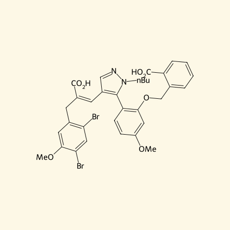 CCCCn1ncc(C=C(Cc2cc(OC)c(Br)cc2Br)C(=O)O)c1-c1ccc(OC)cc1OCc1ccccc1C(=O)O